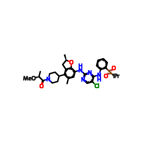 CO[C@@H](C)C(=O)N1CCC(c2c(C)cc(Nc3ncc(Cl)c(Nc4ccccc4S(=O)(=O)C(C)C)n3)c3c2C[C@@H](C)O3)CC1